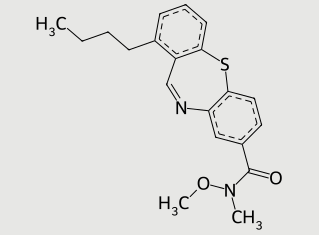 CCCCc1cccc2c1C=Nc1cc(C(=O)N(C)OC)ccc1S2